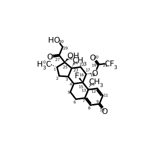 C[C@H]1CC2C3CCC4=CC(=O)C=C[C@]4(C)[C@@]3(F)[C@@H](OC(=O)C(F)(F)F)C[C@]2(C)[C@@]1(O)C(=O)CO